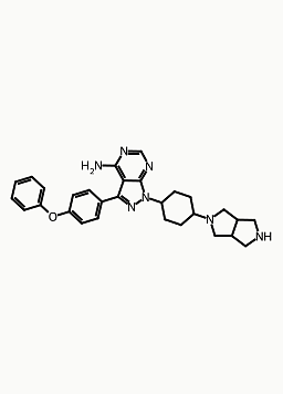 Nc1ncnc2c1c(-c1ccc(Oc3ccccc3)cc1)nn2C1CCC(N2CC3CNCC3C2)CC1